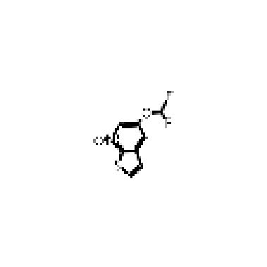 [O-][n+]1cc(OC(F)F)cc2ccsc21